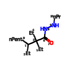 CCCCCC(CC)C(CC)(CC)C(=O)NNCCC